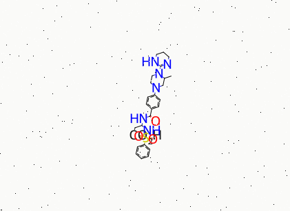 CC1CN(c2ccc(C(=O)NC(CC(=O)O)NS(=O)(=O)c3ccccc3)cc2)CCN1C1=NCCCN1